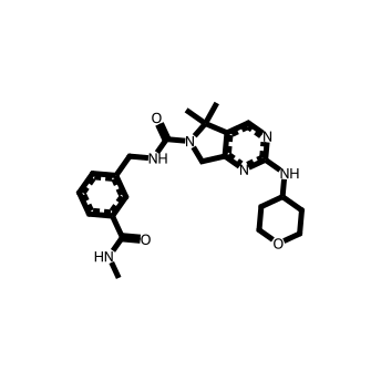 CNC(=O)c1cccc(CNC(=O)N2Cc3nc(NC4CCOCC4)ncc3C2(C)C)c1